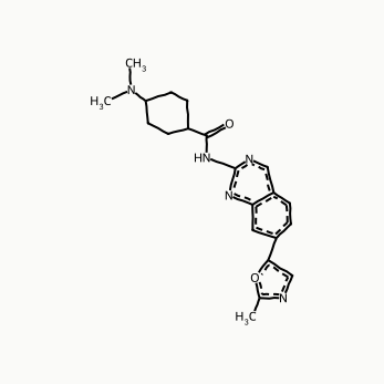 Cc1ncc(-c2ccc3cnc(NC(=O)C4CCC(N(C)C)CC4)nc3c2)o1